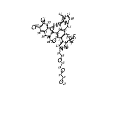 COCCOCCOCCn1cc(-c2cc(Cn3ccn(C)c3=N)cc3c2OC[C@@H](Cc2ccc(Cl)c(Cl)c2)C3=O)c(C(F)(F)F)n1